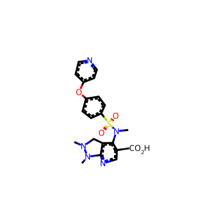 CN1Cc2c(ncc(C(=O)O)c2N(C)S(=O)(=O)c2ccc(Oc3ccncc3)cc2)N1C